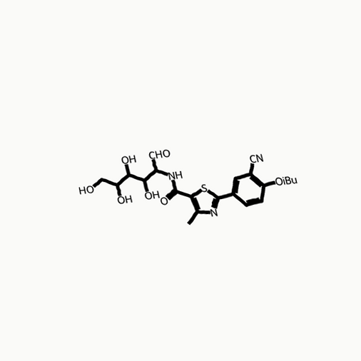 Cc1nc(-c2ccc(OCC(C)C)c(C#N)c2)sc1C(=O)NC(C=O)C(O)C(O)C(O)CO